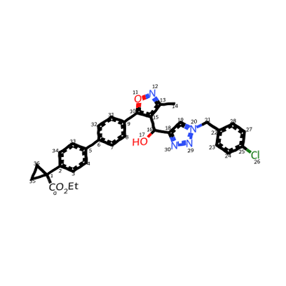 CCOC(=O)C1(c2ccc(-c3ccc(-c4onc(C)c4C(O)c4cn(Cc5ccc(Cl)cc5)nn4)cc3)cc2)CC1